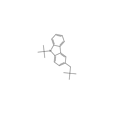 CC(C)(C)Cc1ccc2c(c1)c1ccccc1n2C(C)(C)C